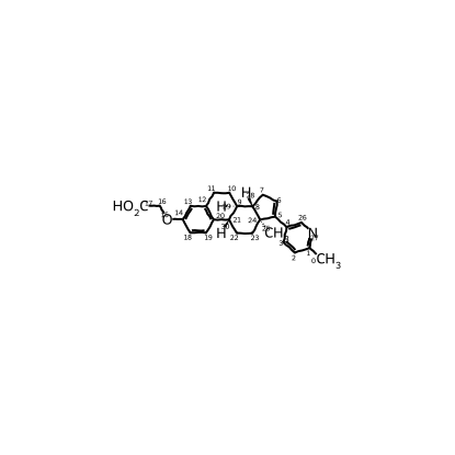 Cc1ccc(C2=CC[C@H]3[C@@H]4CCc5cc(OCC(=O)O)ccc5[C@H]4CC[C@]23C)cn1